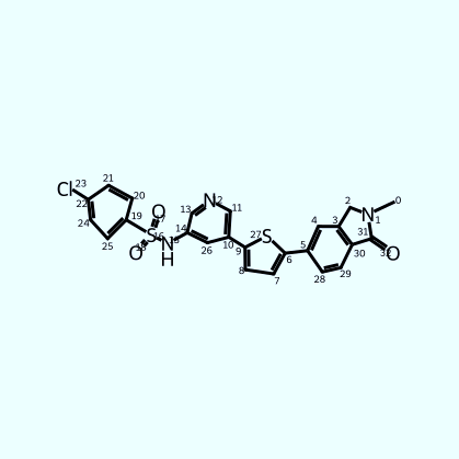 CN1Cc2cc(-c3ccc(-c4cncc(NS(=O)(=O)c5ccc(Cl)cc5)c4)s3)ccc2C1=O